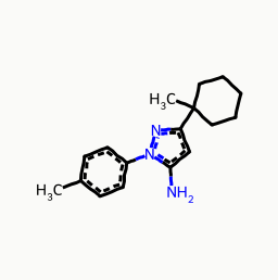 Cc1ccc(-n2nc(C3(C)CCCCC3)cc2N)cc1